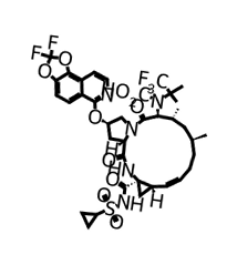 C[C@H]1CC/C=C\[C@@H]2C[C@@]2(C(=O)NS(=O)(=O)C2CC2)NC(=O)[C@@H]2C[C@@H](Oc3nccc4c5c(ccc34)OC(F)(F)O5)CN2C(=O)[C@@H](N(C(=O)O)C(C)(C)C(F)(F)F)[C@H](C)C1